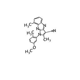 COc1ccc(C)c(-n2c(C)c(C#N)c3nc4cccc(C)c4nc32)c1